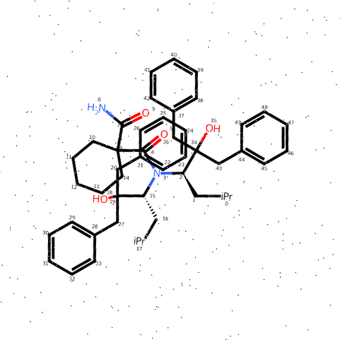 CC(C)C[C@@H](N(C(=O)C1(C(N)=O)CCCCC1)[C@H](CC(C)C)C(O)(Cc1ccccc1)Cc1ccccc1)C(O)(Cc1ccccc1)Cc1ccccc1